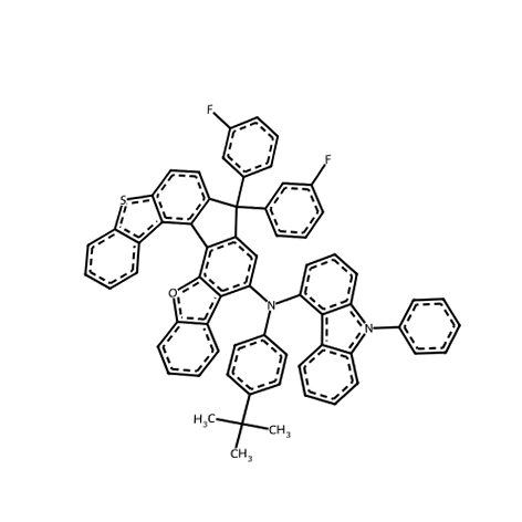 CC(C)(C)c1ccc(N(c2cc3c(c4oc5ccccc5c24)-c2c(ccc4sc5ccccc5c24)C3(c2cccc(F)c2)c2cccc(F)c2)c2cccc3c2c2ccccc2n3-c2ccccc2)cc1